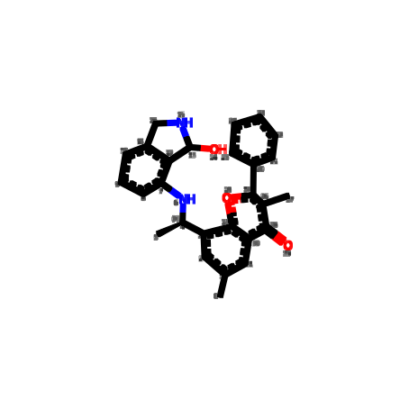 Cc1cc([C@@H](C)Nc2cccc3c2C(O)NC3)c2oc(-c3ccccc3)c(C)c(=O)c2c1